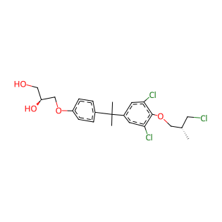 C[C@@H](CCl)COc1c(Cl)cc(C(C)(C)c2ccc(OC[C@@H](O)CO)cc2)cc1Cl